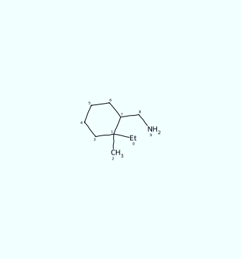 CCC1(C)CCCCC1CN